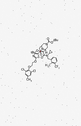 Cc1cc(Cl)c(OCCOc2ncc(C3=C(C(=O)N(Cc4cccc(C(F)(F)F)c4C)C4CC4)[C@H]4CN(C(=O)OC(C)(C)C)CC(C3)N4C(=O)OC(C)(C)C)s2)c(Cl)c1